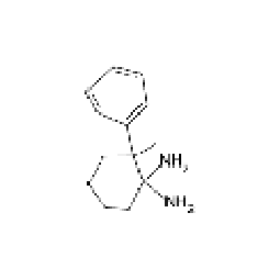 CC1(c2ccccc2)CCCCC1(N)N